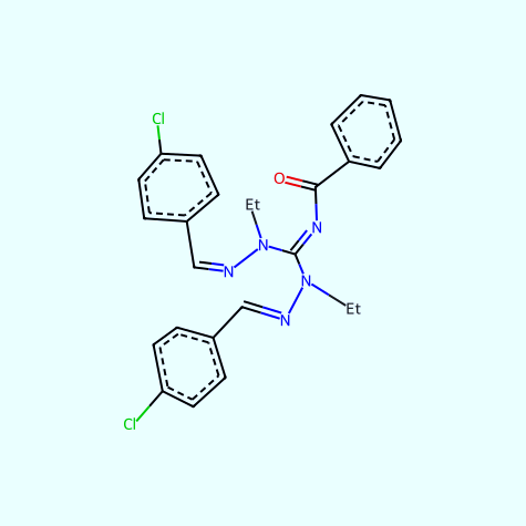 CCN(N=Cc1ccc(Cl)cc1)C(=NC(=O)c1ccccc1)N(CC)N=Cc1ccc(Cl)cc1